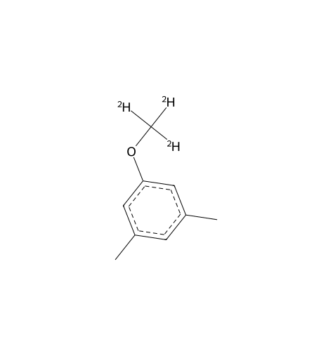 [2H]C([2H])([2H])Oc1cc(C)cc(C)c1